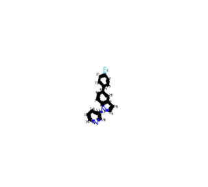 Fc1ccc(-c2ccc3c(ccn3-c3cccnc3)c2)cc1